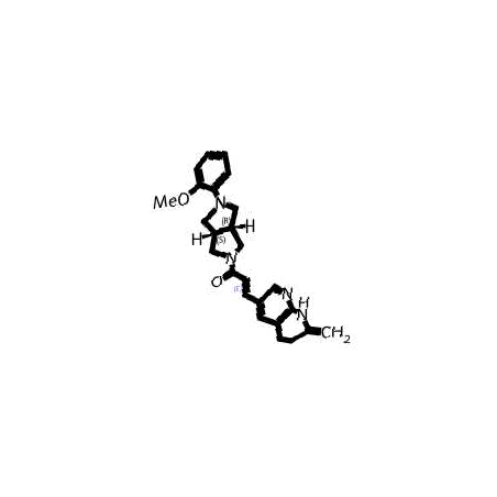 C=C1CCc2cc(/C=C/C(=O)N3C[C@@H]4CN(c5ccccc5OC)C[C@@H]4C3)cnc2N1